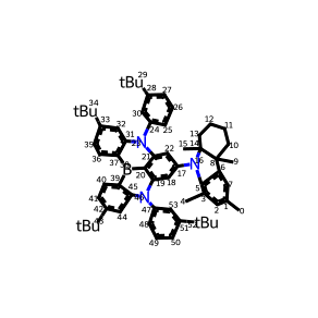 Cc1cc(C)c2c(c1)C1(C)CCCCC1(C)N2c1cc2c3c(c1)N(c1cccc(C(C)(C)C)c1)c1cc(C(C)(C)C)ccc1B3c1ccc(C(C)(C)C)cc1N2c1cccc(C(C)(C)C)c1